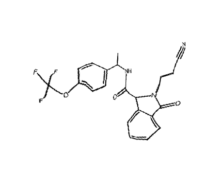 CC(NC(=O)C1c2ccccc2C(=O)N1CCC#N)c1ccc(OC(F)(F)F)cc1